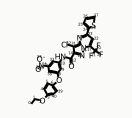 CCOc1ccc(Oc2cc(NC(=O)c3nn4c(C(F)(F)F)cc(-c5cccs5)nc4c3Cl)cc([N+](=O)[O-])c2)cc1